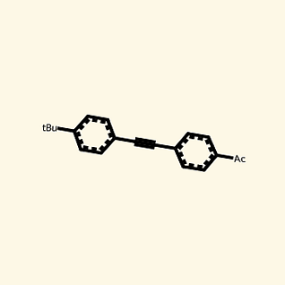 CC(=O)c1ccc(C#Cc2ccc(C(C)(C)C)cc2)cc1